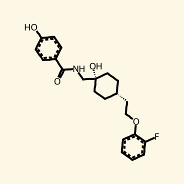 O=C(NC[C@]1(O)CC[C@@H](CCOc2ccccc2F)CC1)c1ccc(O)cc1